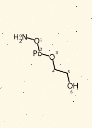 N[O][Po][O]CCO